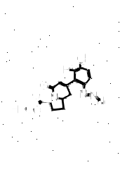 COC(=O)[C@@H]1CCC2CC(c3c(N=[N+]=[N-])ccc(Cl)c3F)=CC(=O)N21